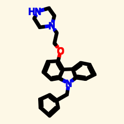 c1ccc(Cn2c3ccccc3c3c(OCCN4CCNCC4)cccc32)cc1